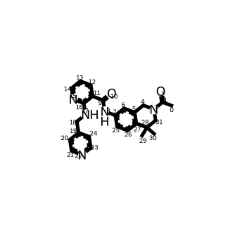 CC(=O)N1Cc2cc(NC(=O)c3cccnc3NCc3ccncc3)ccc2C(C)(C)C1